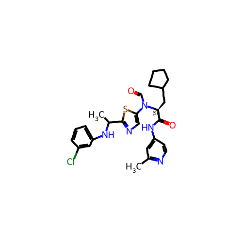 Cc1cc(NC(=O)[C@H](CC2CCCC2)N(C=O)c2cnc(C(C)Nc3cccc(Cl)c3)s2)ccn1